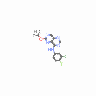 CC(C)Oc1ncc2ncnc(Nc3ccc(F)c(Cl)c3)c2n1